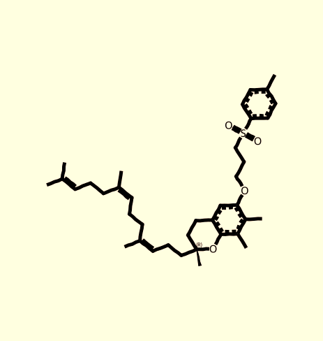 CC(C)=CCCC(C)=CCCC(C)=CCC[C@]1(C)CCc2cc(OCCCS(=O)(=O)c3ccc(C)cc3)c(C)c(C)c2O1